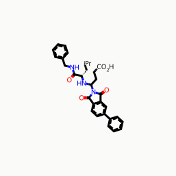 CC(C)C[C@H](NC(CCC(=O)O)N1C(=O)c2ccc(-c3ccccc3)cc2C1=O)C(=O)NCc1ccccc1